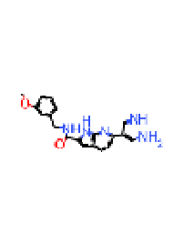 COc1cccc(CNC(=O)c2cc3ccc(/C(C=N)=C/N)nc3[nH]2)c1